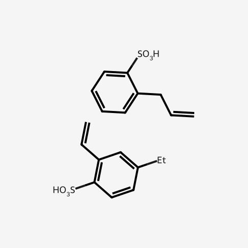 C=CCc1ccccc1S(=O)(=O)O.C=Cc1cc(CC)ccc1S(=O)(=O)O